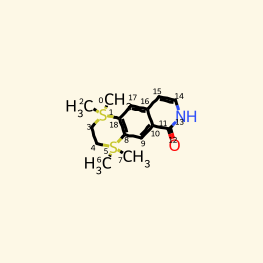 CS1(C)CCS(C)(C)c2cc3c(=O)[nH]ccc3cc21